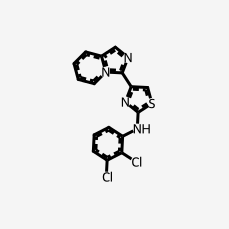 Clc1cccc(Nc2nc(-c3ncc4ccccn34)cs2)c1Cl